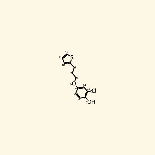 Oc1ccc(OCCCc2cccs2)cc1Cl